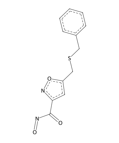 O=NC(=O)c1cc(CSCc2ccccc2)on1